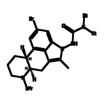 CCCN1CCC[C@@H]2c3cc(Br)cc4c3c(c(C)n4NC(=O)N(CC)CC)C[C@H]21